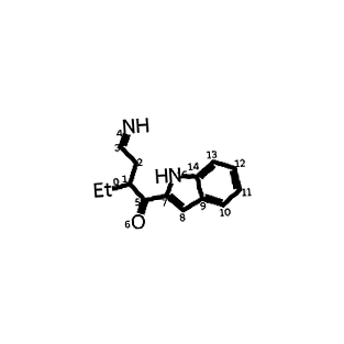 CCC(CC=N)C(=O)c1cc2ccccc2[nH]1